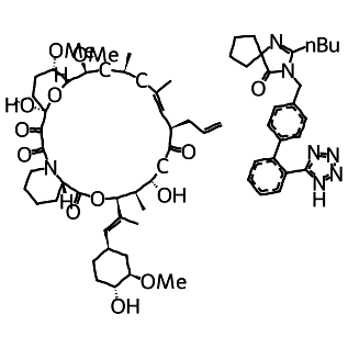 C=CC[C@@H]1/C=C(\C)C[C@H](C)C[C@H](OC)[C@H]2O[C@@](O)(C(=O)C(=O)N3CCCC[C@H]3C(=O)O[C@H](/C(C)=C/[C@@H]3CC[C@@H](O)[C@H](OC)C3)[C@H](C)[C@@H](O)CC1=O)[C@H](C)C[C@@H]2OC.CCCCC1=NC2(CCCC2)C(=O)N1Cc1ccc(-c2ccccc2-c2nnn[nH]2)cc1